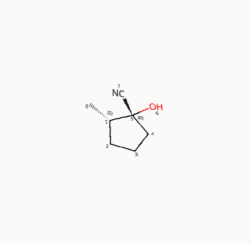 C[C@H]1CCC[C@]1(O)C#N